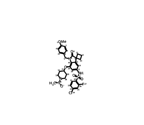 COc1ccc(CN2C(=O)C3(CCC3)c3cc(NS(=O)(=O)c4ccc(Cl)cc4F)cc(OC4CCN([S+](C)[O-])CC4)c32)cc1